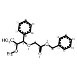 CCOC(C(=O)O)C(OCC(=O)OCc1ccccc1)c1ccccc1